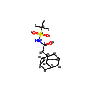 CC(C)(C)S(=O)(=O)NC(=O)CC12CC3CC(CC(C3)C1)C2